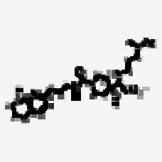 CC(=O)N(C)CCCNC(C(=O)O)C1(O)CCN(C(=O)NCCCc2ccc3c(n2)NCCC3)CC1